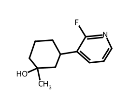 CC1(O)CCCC(c2cccnc2F)C1